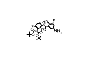 CC(C)(C)OC(=O)N(C(=O)OC(C)(C)C)c1c(F)ccc(NC(=O)c2cc(N)cc(F)c2Cl)c1F